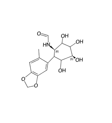 Cc1cc2c(cc1C1C(O)[C@H](O)C(O)C(O)[C@@H]1NC=O)OCO2